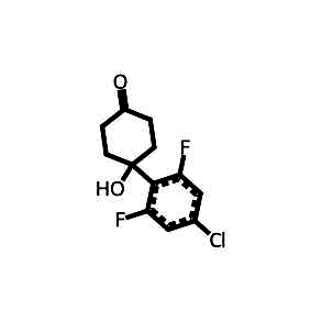 O=C1CCC(O)(c2c(F)cc(Cl)cc2F)CC1